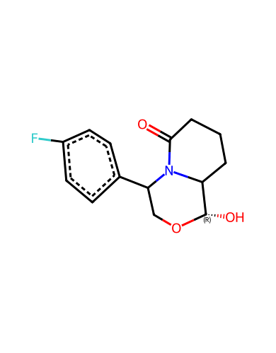 O=C1CCCC2[C@H](O)OCC(c3ccc(F)cc3)N12